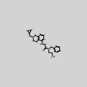 N#CCCN(Cc1ccccc1)C(=O)CNc1cccc2c1CCN(CC1CC1)C2